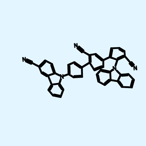 N#Cc1ccc2c(c1)c1ccccc1n2-c1ccc(-c2ccc(-c3cccc(C#N)c3-n3c4ccccc4c4ccccc43)cc2C#N)cc1